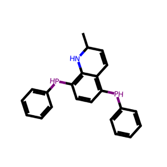 CC1C=Cc2c(Pc3ccccc3)ccc(Pc3ccccc3)c2N1